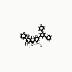 CC1(C)c2ccc(-c3cc(-c4ccccc4)cc(-c4ccccc4)c3)cc2Oc2c1ccc1c2oc2ccccc21